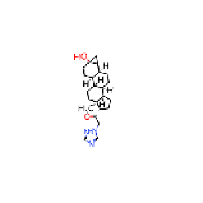 C[C@]12CC[C@@H]3[C@H]4CC[C@]5(O)CC5[C@H]4CC[C@H]3[C@@H]1CC[C@@H]2C(=O)Cn1cncn1